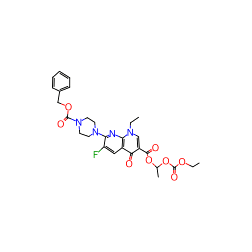 CCOC(=O)OC(C)OC(=O)c1cn(CC)c2nc(N3CCN(C(=O)OCc4ccccc4)CC3)c(F)cc2c1=O